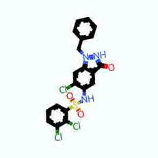 O=c1[nH]n(Cc2ccccc2)c2cc(Cl)c(NS(=O)(=O)c3cccc(Cl)c3Cl)cc12